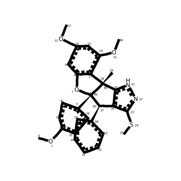 COc1ccc([C@@]23Oc4cc(OC)cc(OC)c4[C@]2(C)c2[nH]nc(SC)c2[C@H]3c2ccccc2)cc1